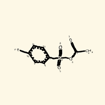 CC(=O)OS(=O)(=O)c1ccc(F)cc1